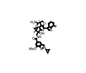 COc1cc(C(=O)NCC(O)(c2cc3c(c(-c4csc5c(F)cccc45)n2)OC[C@]3(C)C(N)=O)C2(F)CC2)cc2cn(C3CC3)nc12